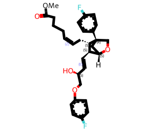 COC(=O)CCC/C=C\C[C@H]1[C@H](/C=C/[C@H](O)COc2ccc(F)cc2)[C@@H]2C[C@@]1(c1ccc(F)cc1)CO2